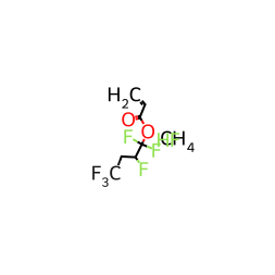 C.C=CC(=O)OC(F)(F)C(F)CC(F)(F)F.F